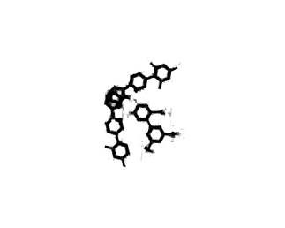 Cc1ccc(-c2ccc3c4ccccc4n(-c4cc(-c5cc(C(F)(F)F)cc(C(F)(F)F)c5)c(C#N)cc4-n4c5ccccc5c5ccc(-c6c(C)cc(C)cc6C)cc54)c3c2)c(C)c1